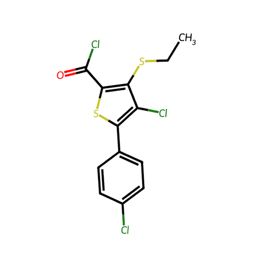 CCSc1c(C(=O)Cl)sc(-c2ccc(Cl)cc2)c1Cl